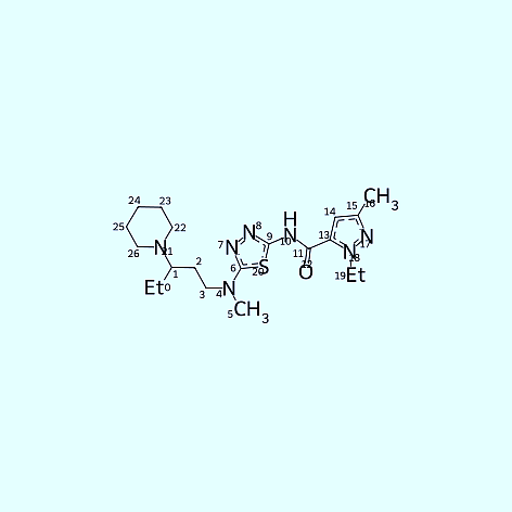 CCC(CCN(C)c1nnc(NC(=O)c2cc(C)nn2CC)s1)N1CCCCC1